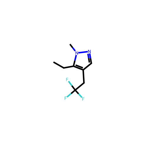 CCc1c(CC(F)(F)F)cnn1C